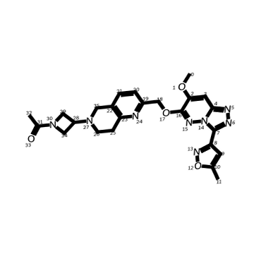 COc1cc2nnc(-c3cc(C)on3)n2nc1OCc1ccc2c(n1)CCN(C1CN(C(C)=O)C1)C2